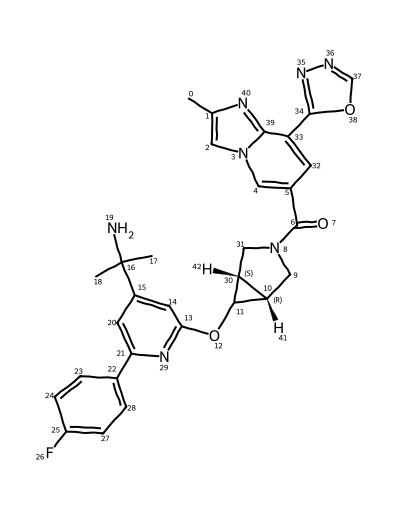 Cc1cn2cc(C(=O)N3C[C@@H]4C(Oc5cc(C(C)(C)N)cc(-c6ccc(F)cc6)n5)[C@@H]4C3)cc(-c3nnco3)c2n1